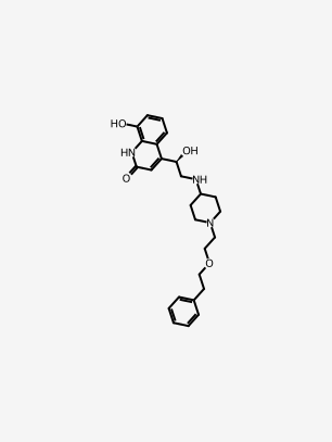 O=c1cc([C@@H](O)CNC2CCN(CCOCCc3ccccc3)CC2)c2cccc(O)c2[nH]1